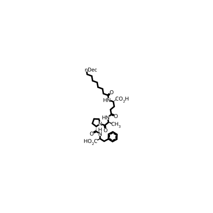 CCCCCCCCCCCCCCCCCC(=O)N[C@@H](CCC(=O)N[C@@H](C)C(=O)N1CCC[C@H]1C(=O)N[C@@H](Cc1ccccc1)C(=O)O)C(=O)O